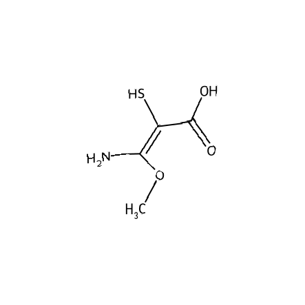 CO/C(N)=C(/S)C(=O)O